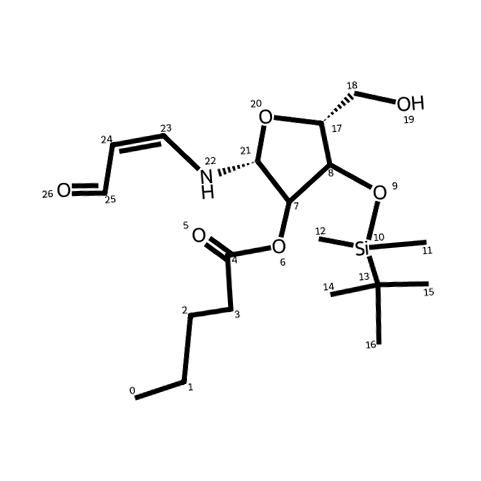 CCCCC(=O)OC1C(O[Si](C)(C)C(C)(C)C)[C@@H](CO)O[C@H]1N/C=C\C=O